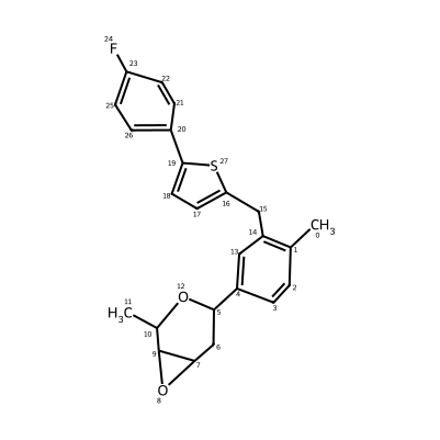 Cc1ccc(C2CC3OC3C(C)O2)cc1Cc1ccc(-c2ccc(F)cc2)s1